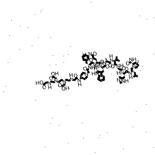 CC(C)C[C@@H](CN1CCC[C@H]1C(N)=O)NC(=O)[C@H](Cc1cnc[nH]1)NC(=O)CNC(=O)[C@@H](NC(=O)[C@H](C)NC(=O)[C@H](Cc1c[nH]c2ccccc12)NC(=O)[C@H](CCC(N)=O)NC(=O)[C@@H](Cc1ccccc1)NC(=O)CN1CCC(NC(=O)CNCCN(CCN(CCNCC(=O)O)CC(=O)O)CC(=O)O)CC1)C(C)C